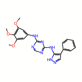 COc1cc(Nc2ncnc(Nc3[nH]ncc3-c3ccccc3)n2)cc(OC)c1OC